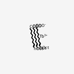 CCCCCCCCC=CCCCCCCCC(=O)[O-].CCCCCCCCC=CCCCCCCCC(=O)[O-].CCCCCCCCC=CCCCCCCCC(=O)[O-].[Tb+3]